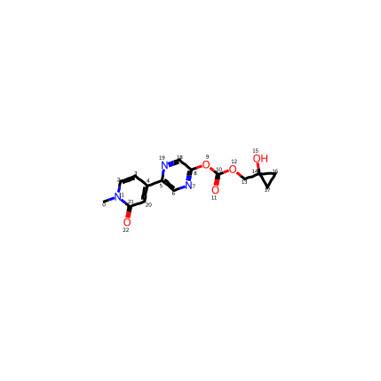 Cn1ccc(-c2cnc(OC(=O)OCC3(O)CC3)cn2)cc1=O